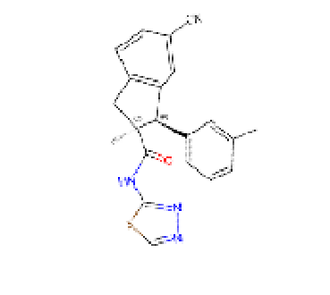 Cc1cccc([C@@H]2c3cc(C#N)ccc3C[C@]2(C)C(=O)Nc2nncs2)c1